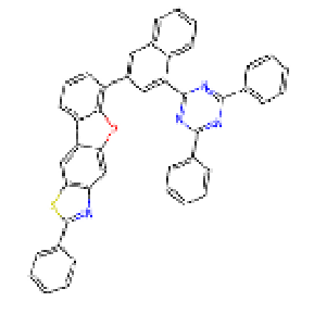 c1ccc(-c2nc(-c3ccccc3)nc(-c3cc(-c4cccc5c4oc4cc6nc(-c7ccccc7)sc6cc45)cc4ccccc34)n2)cc1